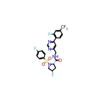 O=C(NCc1cc(-c2ccc(C(F)(F)F)cc2F)ncn1)[C@@H]1C[C@@H](F)CN1S(=O)(=O)c1ccc(F)cc1